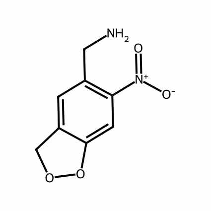 NCc1cc2c(cc1[N+](=O)[O-])OOC2